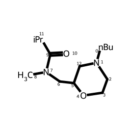 CCCCN1CCOC(CN(C)C(=O)C(C)C)C1